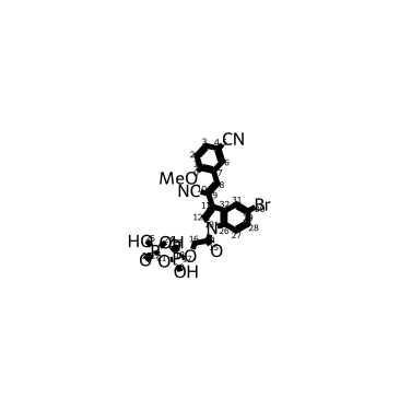 COc1ccc(C#N)cc1C=C(C#N)c1cn(C(=O)COP(=O)(O)OP(=O)(O)O)c2ccc(Br)cc12